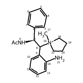 CC(=O)N[C@@H](c1ccccc1)C(c1ccccc1N)[N+]1(C)CCCC1